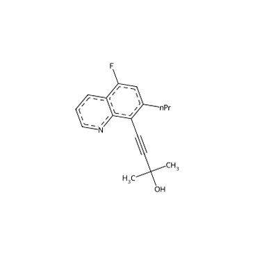 CCCc1cc(F)c2cccnc2c1C#CC(C)(C)O